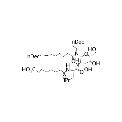 CCCCCCCCCCCCCCCCCC(=O)N(CCCCCCCCCCCC)[C@@H]1O[C@H](CO)[C@@H](O)[C@H](O)[C@H]1NC(=O)[C@H](CC(C)C)NC(=O)CCCCCCC(=O)O